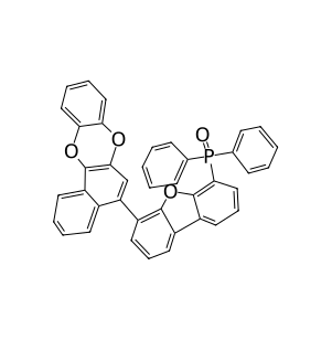 O=P(c1ccccc1)(c1ccccc1)c1cccc2c1oc1c(-c3cc4c(c5ccccc35)Oc3ccccc3O4)cccc12